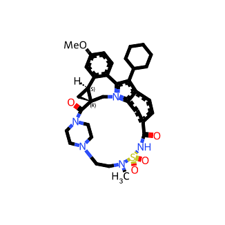 COc1ccc2c(c1)[C@@H]1C[C@]13Cn1c-2c(C2CCCCC2)c2ccc(cc21)C(=O)NS(=O)(=O)N(C)CCN1CCN(CC1)C3=O